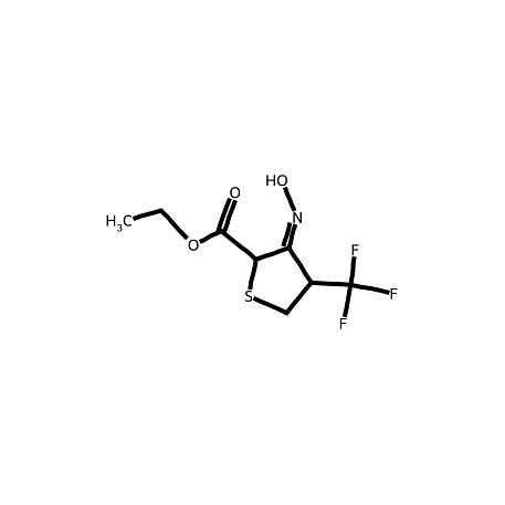 CCOC(=O)C1SCC(C(F)(F)F)C1=NO